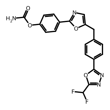 NC(=O)Oc1ccc(-c2ncc(Cc3ccc(-c4nnc(C(F)F)o4)cc3)o2)cc1